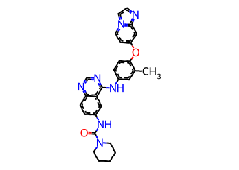 Cc1cc(Nc2ncnc3ccc(NC(=O)N4CCCCC4)cc23)ccc1Oc1ccn2ccnc2c1